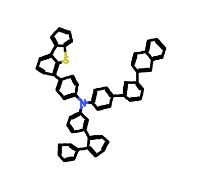 c1ccc(-c2ccccc2-c2cccc(N(c3ccc(-c4cccc(-c5ccc6ccccc6c5)c4)cc3)c3ccc(-c4cccc5c4sc4ccccc45)cc3)c2)cc1